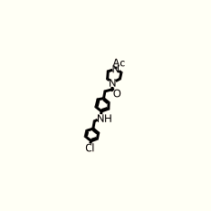 CC(=O)N1CCN(C(=O)Cc2ccc(NCc3ccc(Cl)cc3)cc2)CC1